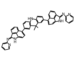 CC1(C)c2cc(-c3ccc4c5c(cccc35)/C(=N/c3ccccn3)N4)ccc2Nc2ccc(-c3ccc4c5c(cccc35)/C(=N/c3ccccn3)N4)cc21